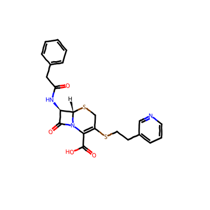 O=C(Cc1ccccc1)N[C@@H]1C(=O)N2C(C(=O)O)=C(SCCc3cccnc3)CS[C@@H]12